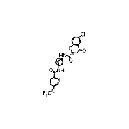 O=C(NC12CCC(NC(=O)[C@H]3CC(=O)c4cc(Cl)ccc4O3)(C1)C2)c1ccc(OC(F)(F)F)cn1